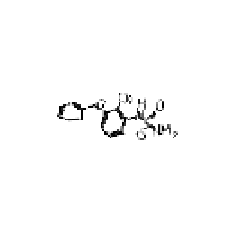 N#Cc1c(NS(N)(=O)=O)cccc1Oc1ccccc1